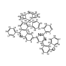 c1ccc(-c2nc(-c3ccc4nc(-c5ccccc5)c5ccc6c(c5c4c3)-c3ccccc3C63c4ccccc4Sc4ccccc43)cc(-c3cccc4oc5ccccc5c34)n2)cc1